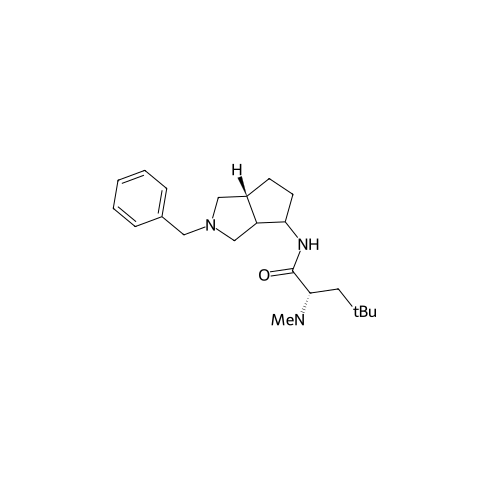 CN[C@@H](CC(C)(C)C)C(=O)NC1CC[C@H]2CN(Cc3ccccc3)CC12